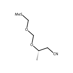 CSCOCO[C@@H](C)CC#N